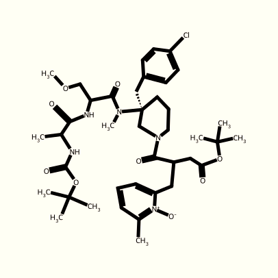 COCC(NC(=O)C(C)NC(=O)OC(C)(C)C)C(=O)N(C)[C@@]1(Cc2ccc(Cl)cc2)CCCN(C(=O)C(CC(=O)OC(C)(C)C)Cc2cccc(C)[n+]2[O-])C1